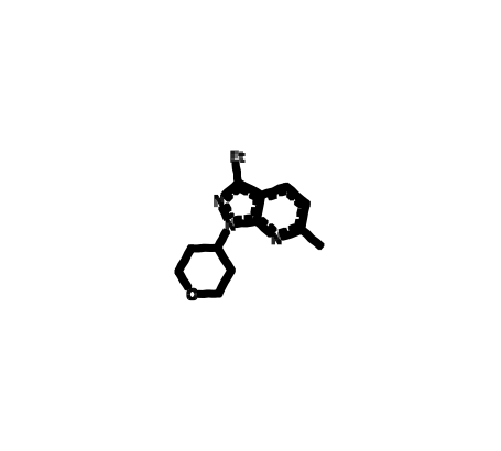 CCc1nn(C2CCOCC2)c2nc(C)ccc12